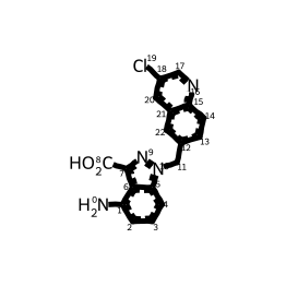 Nc1cccc2c1c(C(=O)O)nn2Cc1ccc2ncc(Cl)cc2c1